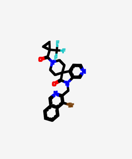 O=C1N(Cc2ncc3ccccc3c2Br)c2cnccc2C12CCN(C(=O)C1(C(F)(F)F)CC1)CC2